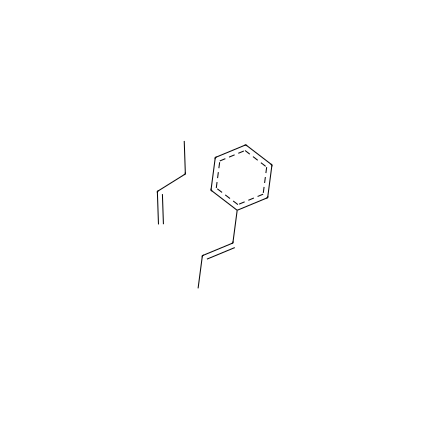 C=CCC.CC=Cc1ccccc1